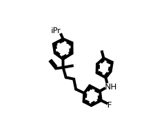 C=CC(C)(CCCc1ccc(F)c(Nc2ccc(C)cc2)c1)c1ccc(C(C)C)cc1